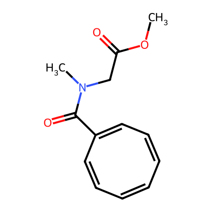 COC(=O)CN(C)C(=O)C1=C/C=C\C=C/C=C\1